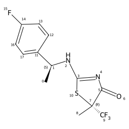 C[C@H](NC1=NC(=O)[C@](C)(C(F)(F)F)S1)c1ccc(F)cc1